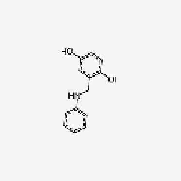 Oc1ccc(O)c(CNc2ccccc2)c1